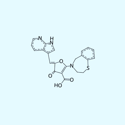 O=C(O)C1=C(N2CCSc3ccccc3C2)OC(=Cc2c[nH]c3ncccc23)C1=O